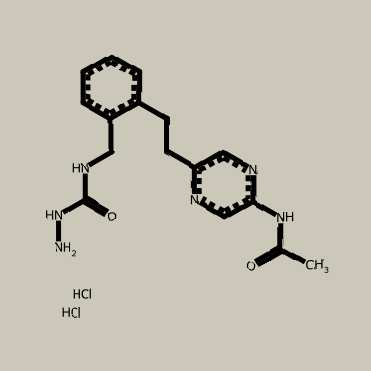 CC(=O)Nc1cnc(CCc2ccccc2CNC(=O)NN)cn1.Cl.Cl